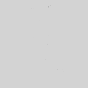 CC(=O)SC(CC(C)C)C(=O)NC1CCc2ccccc2N(CC(=O)O)C1=O